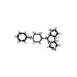 c1ccc(N2CCC([C@H]3c4sccc4-c4cncn43)CC2)cc1